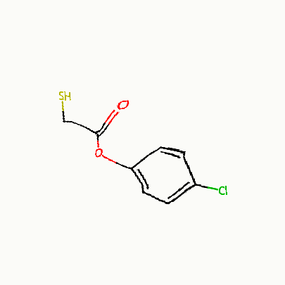 O=C(CS)Oc1ccc(Cl)cc1